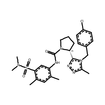 Cc1cc(C)c(S(=O)(=O)N(C)C)cc1NC(=O)N1CCC[C@@H]1c1nnc(C)n1Cc1ccc(Cl)cc1